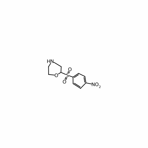 O=[N+]([O-])c1ccc(S(=O)(=O)C2CNCCO2)cc1